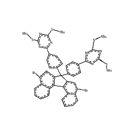 CC(C)(C)Sc1nc(SC(C)(C)C)nc(-c2ccc(C3(c4ccc(-c5nc(SC(C)(C)C)nc(SC(C)(C)C)n5)cc4)c4cc(Br)c5ccccc5c4-c4c3cc(Br)c3ccccc43)cc2)n1